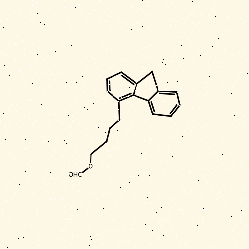 O=COCCCCc1cccc2c1-c1ccccc1C2